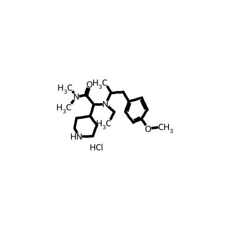 CCN(C(C)Cc1ccc(OC)cc1)C(C(=O)N(C)C)C1CCNCC1.Cl